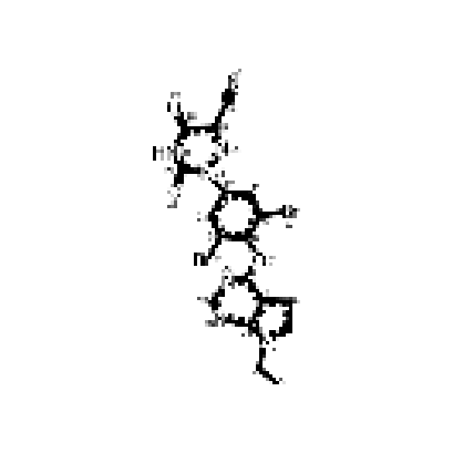 CCn1ccc2c(Oc3c(Br)cc(-n4nc(C#N)c(=O)[nH]c4=O)cc3Br)ncnc21